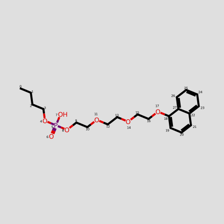 CCCCOP(=O)(O)OCCOCCOCCOc1cccc2ccccc12